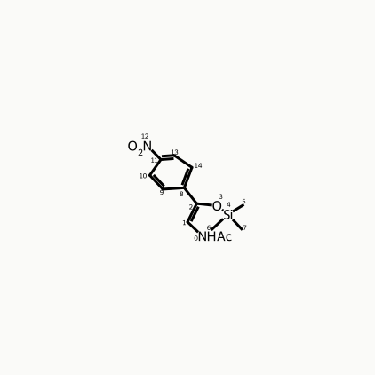 CC(=O)NC=C(O[Si](C)(C)C)c1ccc([N+](=O)[O-])cc1